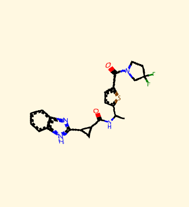 CC(NC(=O)C1CC1c1nc2ccccc2[nH]1)c1ccc(C(=O)N2CCC(F)(F)C2)s1